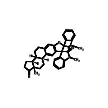 CN1C(=O)[C@]2(c3cc4c(cc3O[C@@]23C(=O)N(C)c2ccccc23)CC[C@@H]2[C@@H]4CC[C@]3(C)C(=O)CC[C@@H]23)c2ccccc21